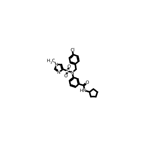 Cn1cnc(S(=O)(=O)N(Cc2ccc(Cl)cc2)c2cccc(C(=O)NC3CCCC3)c2)c1